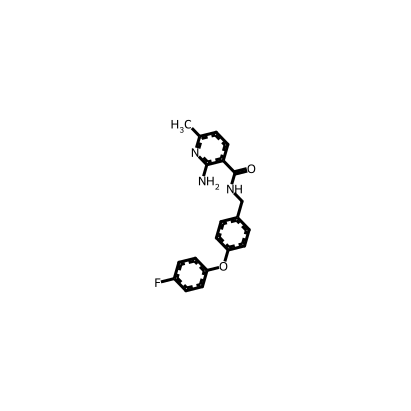 Cc1ccc(C(=O)NCc2ccc(Oc3ccc(F)cc3)cc2)c(N)n1